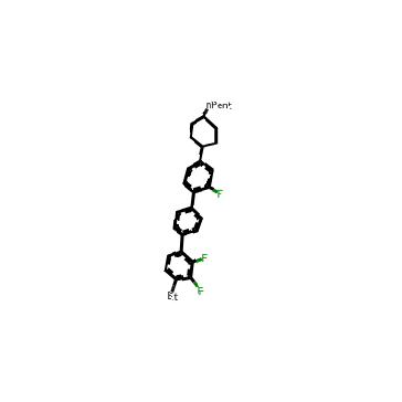 CCCCCC1CCC(c2ccc(-c3ccc(-c4ccc(CC)c(F)c4F)cc3)c(F)c2)CC1